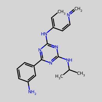 C=N/C=C\C(=C/C)Nc1nc(NC(C)C)nc(-c2cccc(N)c2)n1